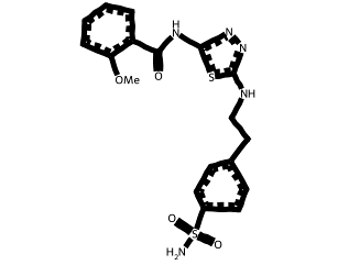 COc1ccccc1C(=O)Nc1nnc(NCCc2ccc(S(N)(=O)=O)cc2)s1